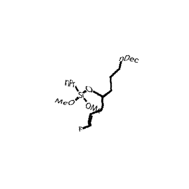 CCCCCCCCCCCCCC(CC=CF)O[Si](CCC)(OC)OC